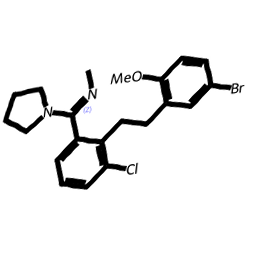 C/N=C(/c1cccc(Cl)c1CCc1cc(Br)ccc1OC)N1CCCC1